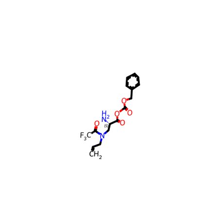 C=CCN(C[C@H](N)C(=O)OC(=O)OCc1ccccc1)C(=O)C(F)(F)F